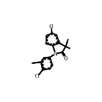 Cc1cc(N2C(=O)C(C)(C)c3cc(Cl)ccc32)ccc1Cl